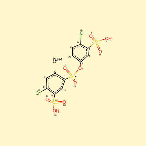 O=S(=O)(O)c1cc(OS(=O)(=O)c2ccc(Cl)c(S(=O)(=O)O)c2)ccc1Cl.[NaH]